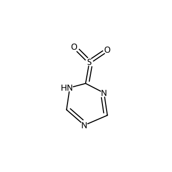 O=S(=O)=c1ncnc[nH]1